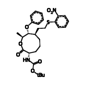 C[C@@H]1OC(=O)[C@@H](NC(=O)OC(C)(C)C)CCC[C@H](CCSc2ccccc2[N+](=O)[O-])[C@H]1Oc1ccccc1